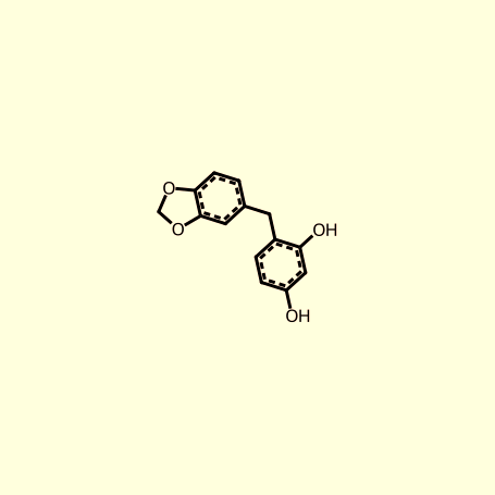 Oc1ccc(Cc2ccc3c(c2)OCO3)c(O)c1